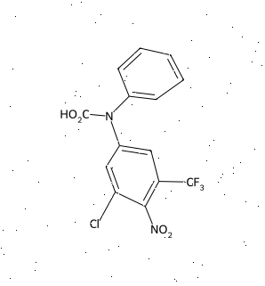 O=C(O)N(c1ccccc1)c1cc(Cl)c([N+](=O)[O-])c(C(F)(F)F)c1